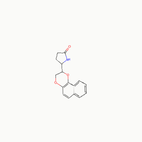 O=C1CCC(C2COc3ccc4ccccc4c3O2)N1